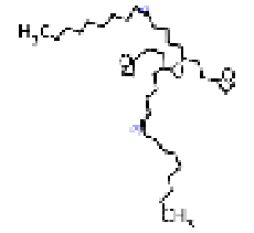 CCCCCCCC/C=C\CCCCC(CCC1CCO1)OC(CCCC/C=C\CCCCCCCC)CCC1CCO1